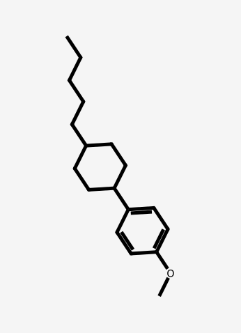 CCCCCC1CCC(c2ccc(OC)cc2)CC1